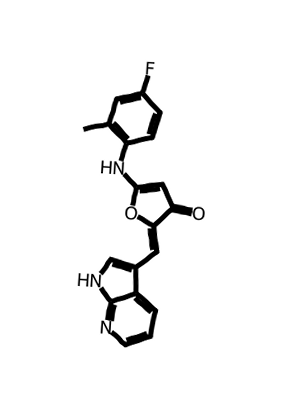 Cc1cc(F)ccc1NC1=CC(=O)C(=Cc2c[nH]c3ncccc23)O1